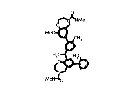 CNC(=O)N1CCOc2c(cc(-c3cc(C(C)c4cc(-c5ccccc5C)cc5c4OCCN(C(=O)NC)C5)ccc3C)cc2OC)C1